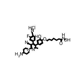 Cc1nc(N2CCC(N)CC2)c(C#N)c(-c2ccc(C#N)c(F)c2)c1-c1ccc(OCCCCCCC(=O)NO)c(O)c1.Cl